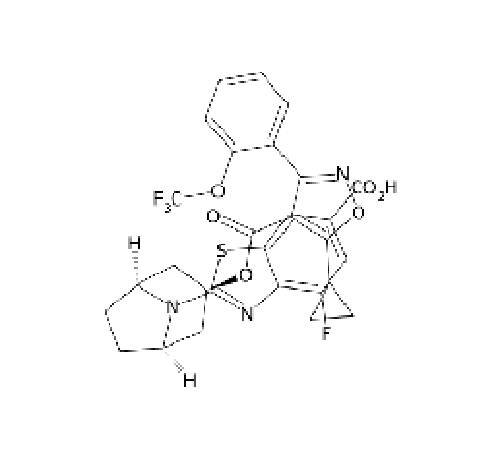 O=C(O)c1cc(F)c2nc(N3[C@@H]4CC[C@H]3C[C@@H](OC(=O)c3c(-c5ccccc5OC(F)(F)F)noc3C3CC3)C4)sc2c1